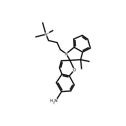 CC1(C)c2ccccc2N(CCC[N+](C)(C)C)C12C=Cc1cc(N)ccc1O2